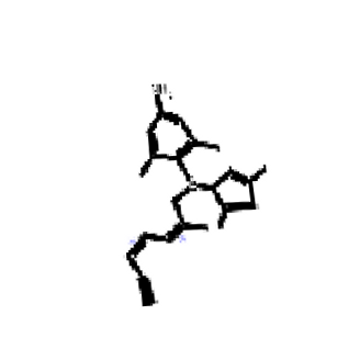 C#C/C=C\C=C(\C)CB(c1c(C)cc(N)cc1C)C1C=C(C)C=C1C